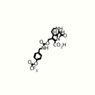 O=C(NCc1ccc(OC(=O)C(F)(F)F)cc1)OCC1=C(C(=O)O)N2C(=O)[C@H]3NCCC1[C@H]32